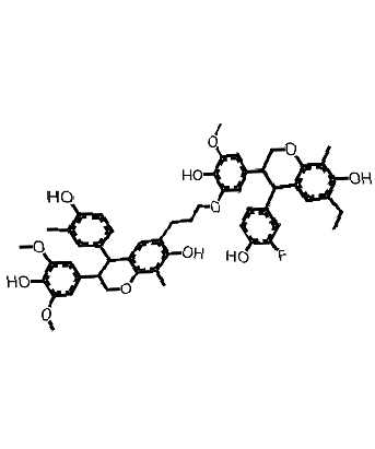 CCc1cc2c(c(C)c1O)OCC(c1cc(OC)c(O)c(OCCCc3cc4c(c(C)c3O)OCC(c3cc(OC)c(O)c(OC)c3)C4c3ccc(O)c(C)c3)c1)C2c1ccc(O)c(F)c1